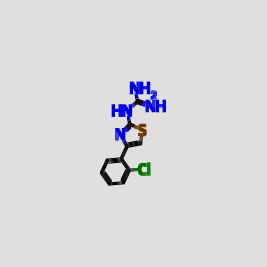 N=C(N)Nc1nc(-c2ccccc2Cl)cs1